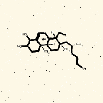 CC(C)CCC[C@@H](C)[C@H]1CC[C@H]2[C@@H]3CC=C4C(O)C(O)CC[C@]4(C)[C@H]3CC[C@]12C